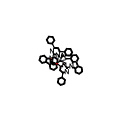 c1ccc(-c2cc(-c3ccccc3)nc(-n3c4ccccc4c4cccc(-c5nnc(-c6cccc7c8ccccc8n(-c8nc(-c9ccccc9)cc(-c9ccccc9)n8)c67)s5)c43)n2)cc1